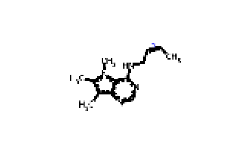 C/C=C\CNc1ncnc2c(C)c(C)n(C)c12